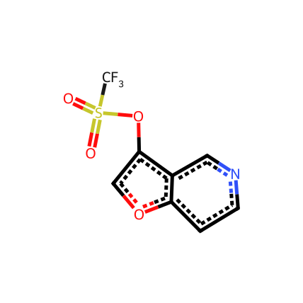 O=S(=O)(Oc1coc2ccncc12)C(F)(F)F